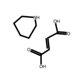 C1CCNCC1.O=C(O)C=CC(=O)O